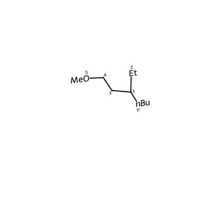 CCCCC(CC)CCOC